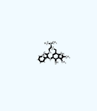 CCC1=CC(=Nc2c(OCCN(C)C)nn3ccccc23)C(=N)c2c1[nH]c(C)c2C